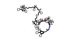 COc1cc2cc(c1Cl)N(C)C(=O)C[C@H](OC(=O)[C@H](C)N(C)C(=O)CCSCCC(=O)N(C)CCN(C)C(=O)CCCCCN1C(=O)C=C(Cl)S1(=O)=O)[C@]1(C)O[C@H]1[C@H](C)[C@@H]1C[C@@](O)(NC(=O)O1)[C@H](OC)/C=C/C=C(\C)C2